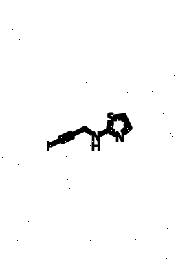 IC#CCNc1nccs1